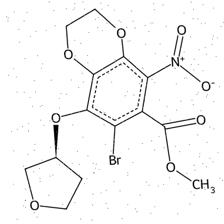 COC(=O)c1c(Br)c(O[C@H]2CCOC2)c2c(c1[N+](=O)[O-])OCCO2